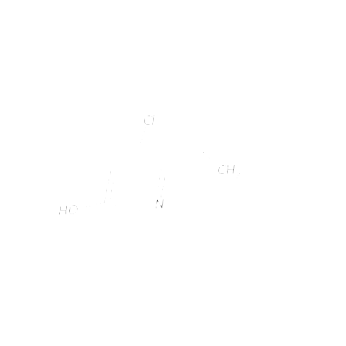 CCc1ncc(O)cc1Cl